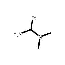 CCC(N)N(C)C